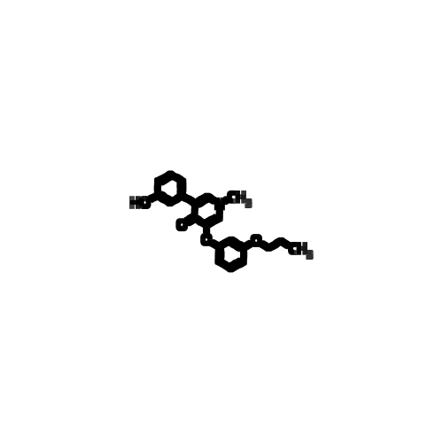 CCCOc1cccc(Oc2cn(C)cc(-c3cccc(O)c3)c2=O)c1